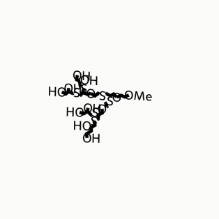 COCCOCC(CSCCOCC(CSCC(O)CO)SCC(O)CO)SCCOCC(CSCC(O)CCO)SCC(O)CO